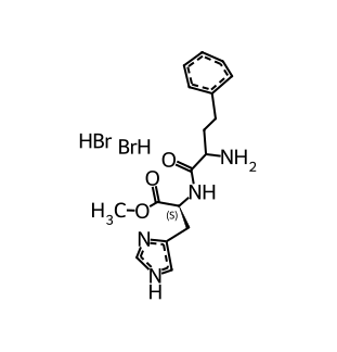 Br.Br.COC(=O)[C@H](Cc1c[nH]cn1)NC(=O)C(N)CCc1ccccc1